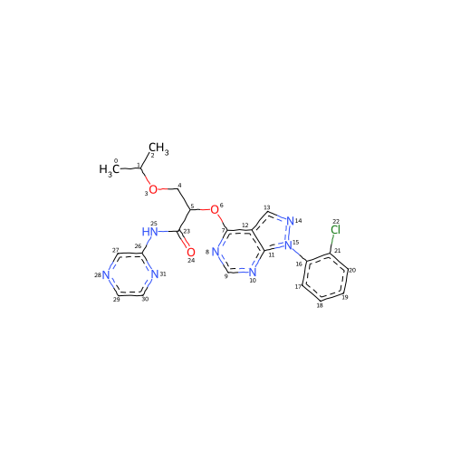 CC(C)OCC(Oc1ncnc2c1cnn2-c1ccccc1Cl)C(=O)Nc1cnccn1